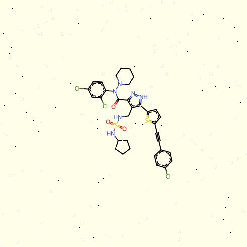 O=C(c1n[nH]c(-c2ccc(C#Cc3ccc(Cl)cc3)s2)c1CNS(=O)(=O)NC1CCCC1)N(c1ccc(Cl)cc1Cl)N1CCCCC1